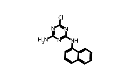 Nc1nc(Cl)nc(Nc2cccc3ccccc23)n1